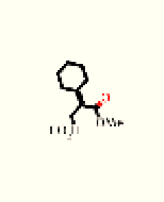 COC(=O)C(CC(=O)O)=C1CCCCC1